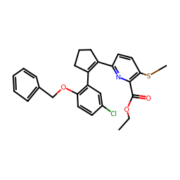 CCOC(=O)c1nc(C2=C(c3cc(Cl)ccc3OCc3ccccc3)CCC2)ccc1SC